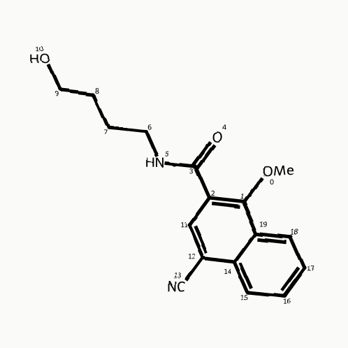 COc1c(C(=O)NCCCCO)cc(C#N)c2ccccc12